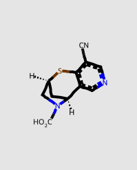 N#Cc1cncc2c1S[C@H]1C[C@@H]2N(C(=O)O)C1